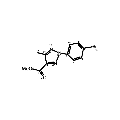 COC(=O)c1nn(-c2ccc(Br)cc2)nc1C